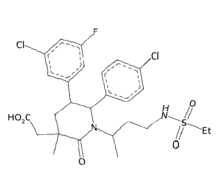 CCS(=O)(=O)NCCC(C)N1C(=O)C(C)(CC(=O)O)CC(c2cc(F)cc(Cl)c2)C1c1ccc(Cl)cc1